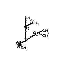 CCCCCCC(CCCCCC)OC(=O)CCCCCCCN(CCCCCCCC(=O)OCC(CCCC)CCCC)CCCNc1c(NC)c(=O)c1=O